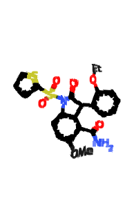 CCOc1ccccc1[C]1C(=O)N(S(=O)(=O)c2cccs2)c2ccc(OC)c(C(N)=O)c21